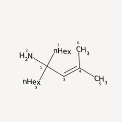 CCCCCCC(N)(C=C(C)C)CCCCCC